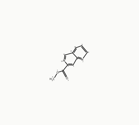 COC(=O)c1cc2ncccc2cn1